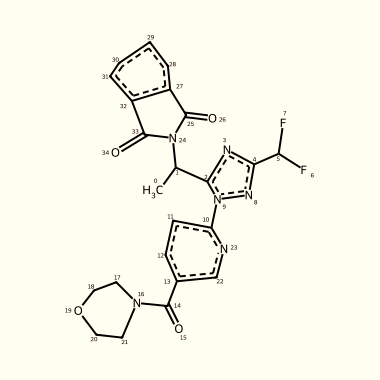 CC(c1nc(C(F)F)nn1-c1ccc(C(=O)N2CCOCC2)cn1)N1C(=O)c2ccccc2C1=O